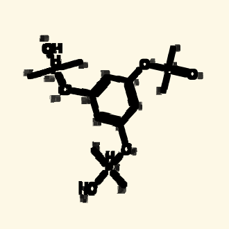 CP(C)(=O)Oc1cc(O[PH](C)(C)O)cc(O[PH](C)(C)O)c1